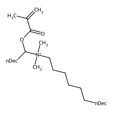 C=C(C)C(=O)OC(CCCCCCCCCC)[N+](C)(C)CCCCCCCCCCCCCCCC